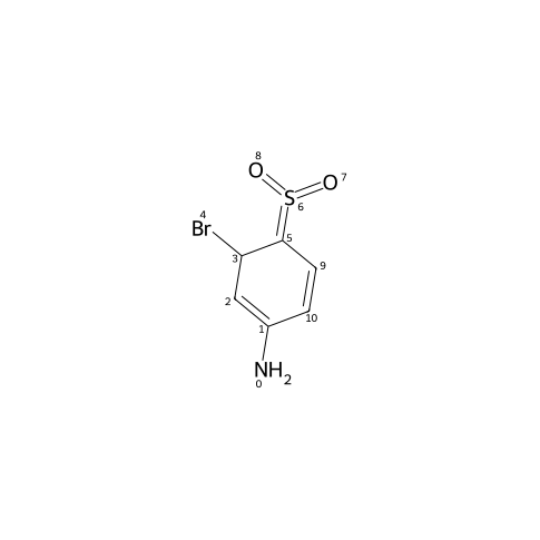 NC1=CC(Br)C(=S(=O)=O)C=C1